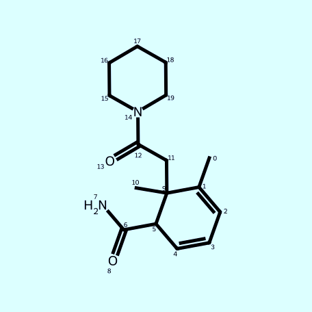 CC1=CC=CC(C(N)=O)C1(C)CC(=O)N1CCCCC1